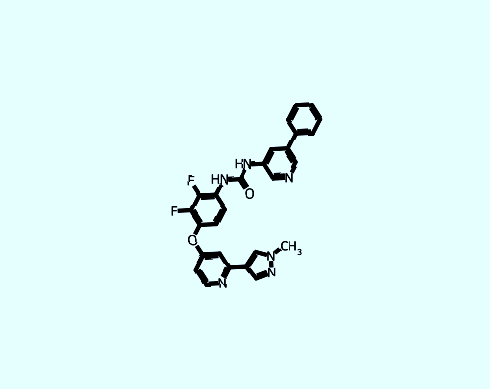 Cn1cc(-c2cc(Oc3ccc(NC(=O)Nc4cncc(-c5ccccc5)c4)c(F)c3F)ccn2)cn1